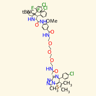 COc1cc(C(=O)NCCOCCOCCOCCNC(=O)C[C@@H]2N=C(c3ccc(Cl)cc3)c3c(sc(C)c3C)-n3c(C)nnc32)ccc1NC(=O)C1NC(CC(C)(C)C)[C@](C#N)(c2ccc(Cl)cc2F)C1c1cccc(Cl)c1F